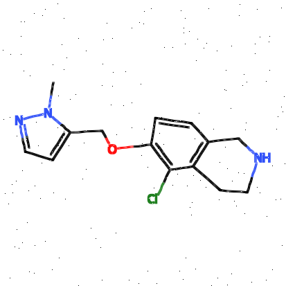 Cn1nccc1COc1ccc2c(c1Cl)CCNC2